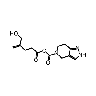 C=C(CO)CCC(=O)OC(=O)N1CCc2n[nH]cc2C1